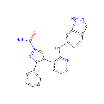 NC(=O)n1[c]c(-c2cccnc2Nc2ccc3cn[nH]c3c2)c(-c2ccccc2)n1